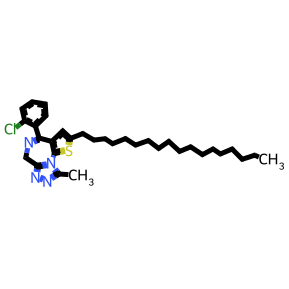 CCCCCCCCCCCCCCCCCCc1cc2c(s1)-n1c(C)nnc1CN=C2c1ccccc1Cl